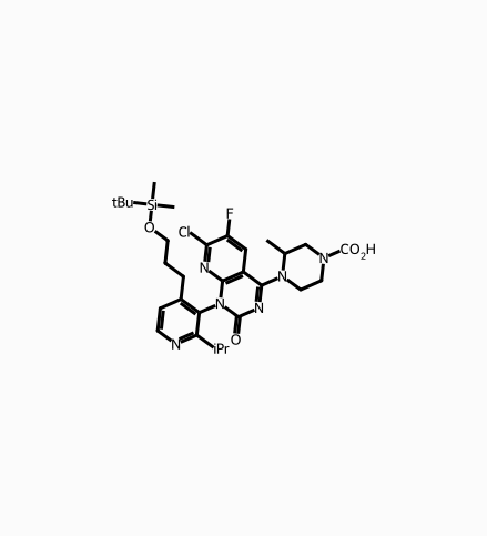 CC(C)c1nccc(CCCO[Si](C)(C)C(C)(C)C)c1-n1c(=O)nc(N2CCN(C(=O)O)CC2C)c2cc(F)c(Cl)nc21